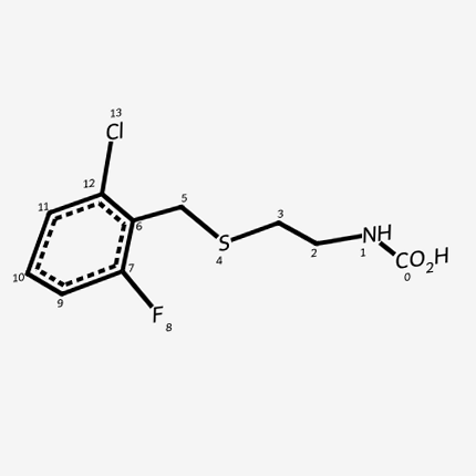 O=C(O)NCCSCc1c(F)cccc1Cl